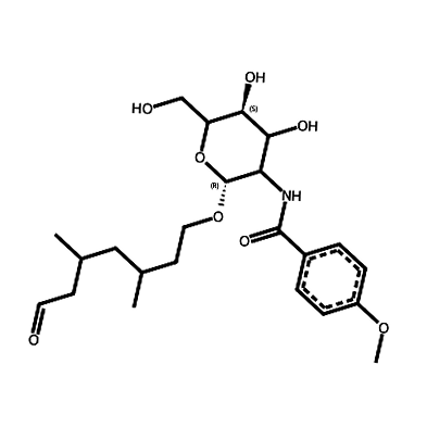 COc1ccc(C(=O)NC2C(O)[C@H](O)C(CO)O[C@H]2OCCC(C)CC(C)CC=O)cc1